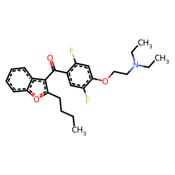 CCCCc1oc2ccccc2c1C(=O)c1cc(F)c(OCCN(CC)CC)cc1F